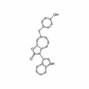 O=c1oc2cc(Sc3ccc(O)cc3)cccc-2c1-c1c[nH]c2ccccc12